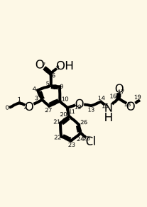 CCOc1cc(C(=O)O)cc(C(OCCNC(=O)OC)c2cccc(Cl)c2)c1